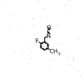 Cc1ccc(F)c(CN=C=O)c1